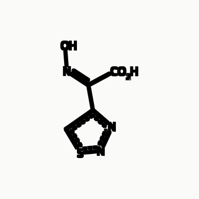 O=C(O)C(=NO)c1csnn1